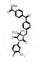 COC(=O)c1ccc(C(=O)c2ccc(CN3C(=O)N(c4ccc(F)c(C(F)(F)F)c4)C(=O)C3(C)C)cc2)cc1